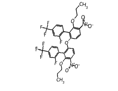 CCCOc1c([N+](=O)[O-])ccc(Oc2ccc([N+](=O)[O-])c(OCCC)c2-c2ccc(C(F)(F)F)cc2F)c1-c1ccc(C(F)(F)F)cc1F